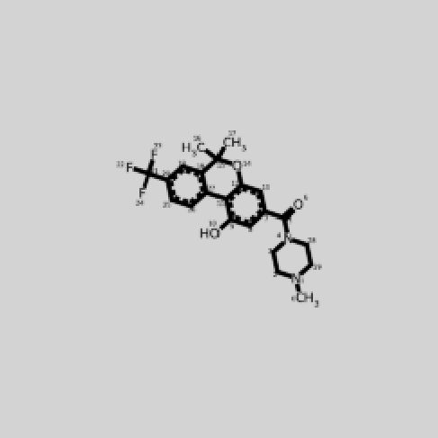 CN1CCN(C(=O)c2cc(O)c3c(c2)OC(C)(C)c2cc(C(F)(F)F)ccc2-3)CC1